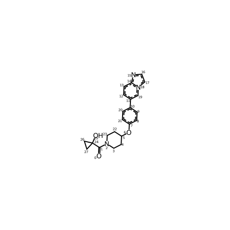 O=C(N1CCC(Oc2ccc(-c3ccc4nccn4c3)cc2)CC1)C1(O)CC1